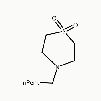 CCCCCCN1CCS(=O)(=O)CC1